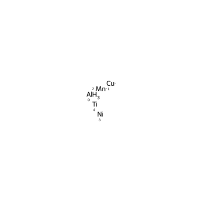 [AlH3].[Cu].[Mn].[Ni].[Ti]